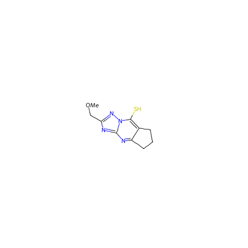 COCc1nc2nc3c(c(S)n2n1)CCC3